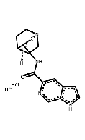 Cl.Cl.O=C(N[C@@H]1CN2CCC1CC2)c1cc2cc[nH]c2cn1